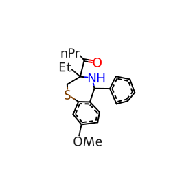 CCCC(=O)C1(CC)CSc2cc(OC)ccc2C(c2ccccc2)N1